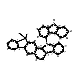 CC1(C)c2ccccc2-c2cc3ccc4c5ccccc5n(-c5cccc6sc7ccccc7c56)c4c3cc21